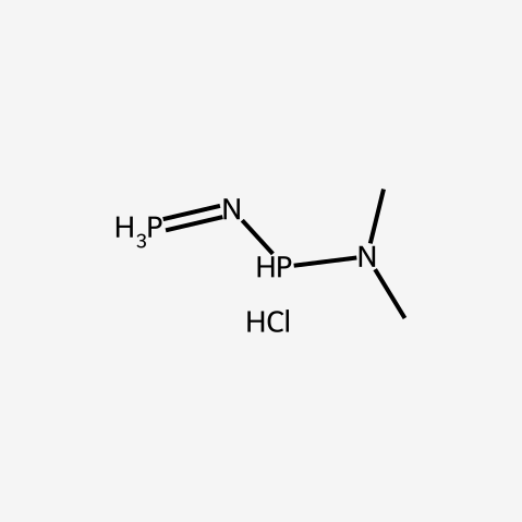 CN(C)PN=[PH3].Cl